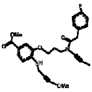 CC#CN(CCCOc1cc(C(=O)OC)ccc1NCC#COC)C(=O)Cc1ccc(F)cc1